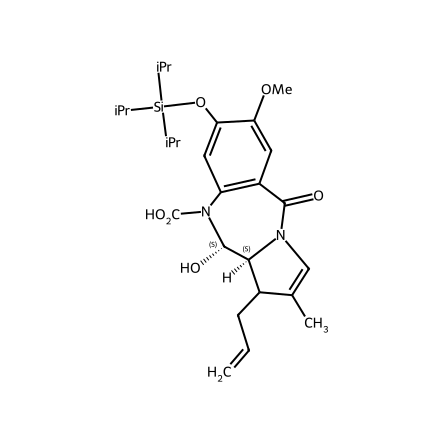 C=CCC1C(C)=CN2C(=O)c3cc(OC)c(O[Si](C(C)C)(C(C)C)C(C)C)cc3N(C(=O)O)[C@@H](O)[C@H]12